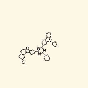 Clc1ccc2ccc3oc4cc(-c5nc(-c6ccccc6)nc(-c6ccc7c8ccccc8n(-c8ccccc8)c7c6)n5)ccc4c3c2c1